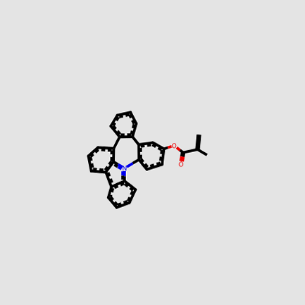 C=C(C)C(=O)Oc1ccc2c(c1)-c1ccccc1-c1cccc3c4ccccc4n-2c13